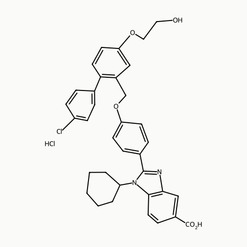 Cl.O=C(O)c1ccc2c(c1)nc(-c1ccc(OCc3cc(OCCO)ccc3-c3ccc(Cl)cc3)cc1)n2C1CCCCC1